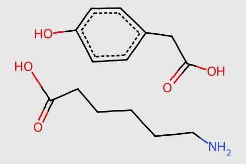 NCCCCCC(=O)O.O=C(O)Cc1ccc(O)cc1